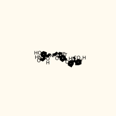 CC(C)CN(CCCNC[C@@H](O)c1ccc(O)c2[nH]c(=O)ccc12)C(=O)c1ccc(COc2cccc(C(NC(=O)O)c3ccccc3)c2)cc1